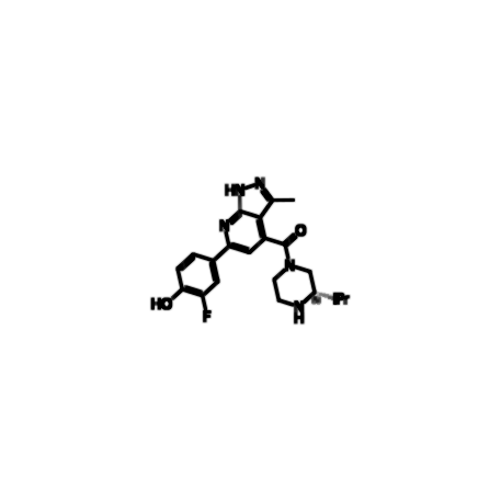 Cc1n[nH]c2nc(-c3ccc(O)c(F)c3)cc(C(=O)N3CCN[C@@H](C(C)C)C3)c12